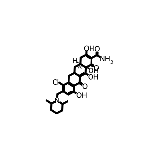 CC1CCCC(C)N1Cc1cc(O)c2c(c1Cl)CC1C[C@H]3CC(O)=C(C(N)=O)C(=O)[C@@]3(O)C(O)=C1C2=O